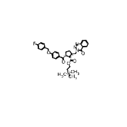 C[Si](C)(C)CCOC(=O)[C@H]1[C@H](Cn2nnc3ccccc3c2=O)CC[C@@H]1C(=O)c1ccc(OCc2ccc(F)cc2)cc1